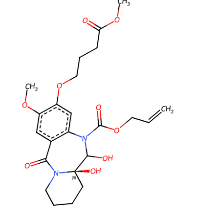 C=CCOC(=O)N1c2cc(OCCCC(=O)OC)c(OC)cc2C(=O)N2CCCC[C@@]2(O)C1O